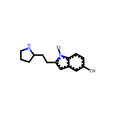 CCn1c(CCC2CCCN2)cc2cc(C#N)ccc21